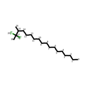 CCCCCCCCCCCCCCCC(C)C(C)(F)F